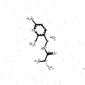 Cc1nc(N)ccc1CNC(=O)[C@H](C)N.Cl